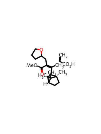 C=CC(=O)O.COC(=O)C(CC1CCCO1)=C(C)C1C[C@H]2CC[C@@]1(C)C2(C)C